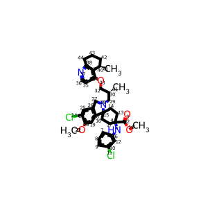 COC(=O)C1(Nc2cccc(Cl)c2)CCC2(CC1)c1cc(OC)c(Cl)cc1CN2C[C@@H](C)COc1ccnc2c1[C@H](C)CCC2